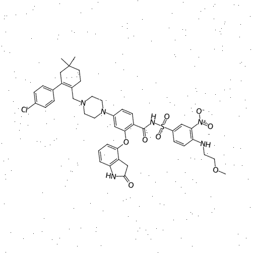 COCCNc1ccc(S(=O)(=O)NC(=O)c2ccc(N3CCN(CC4=C(c5ccc(Cl)cc5)CC(C)(C)CC4)CC3)cc2Oc2cccc3c2CC(=O)N3)cc1[N+](=O)[O-]